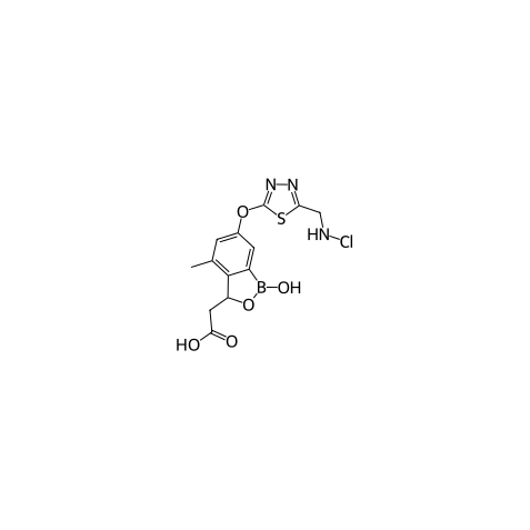 Cc1cc(Oc2nnc(CNCl)s2)cc2c1C(CC(=O)O)OB2O